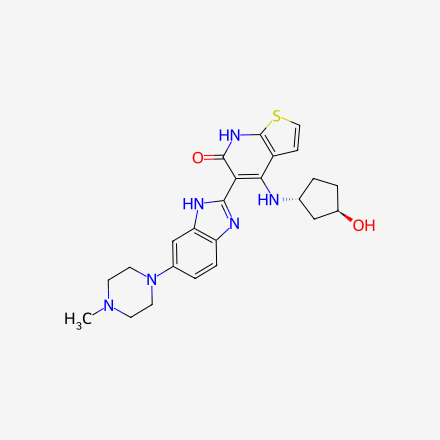 CN1CCN(c2ccc3nc(-c4c(N[C@@H]5CC[C@@H](O)C5)c5ccsc5[nH]c4=O)[nH]c3c2)CC1